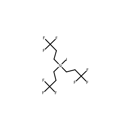 FC(F)(F)CC[Si](I)(CCC(F)(F)F)CCC(F)(F)F